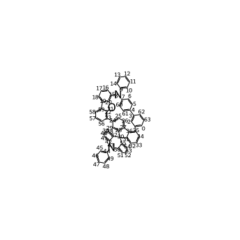 c1ccc(-c2ccc(N(c3ccccc3)c3cccc4c3oc3c(-c5ccc6c(c5)C5(c7ccccc7-6)c6ccccc6N(c6ccccc6)c6ccccc65)cccc34)cc2)cc1